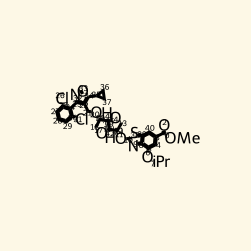 COC(=O)c1cc(OC(C)C)c2nc(O[C@H]3CO[C@H]4[C@@H]3OC[C@H]4OCc3c(-c4c(Cl)cccc4Cl)noc3C3CC3)sc2c1